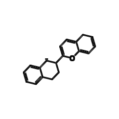 [C]1c2ccccc2CCC1C1=CC=C2CC=CC=C2O1